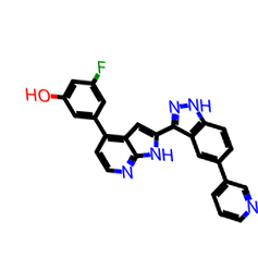 Oc1cc(F)cc(-c2ccnc3[nH]c(-c4n[nH]c5ccc(-c6cccnc6)cc45)cc23)c1